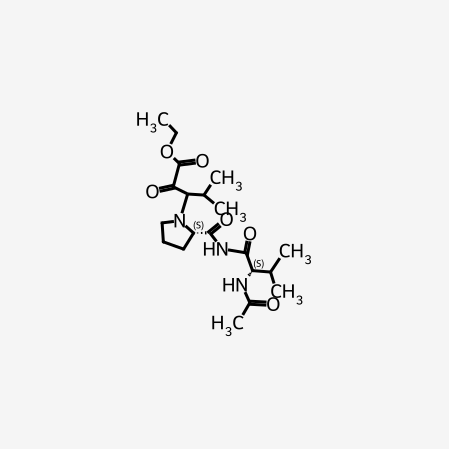 CCOC(=O)C(=O)C(C(C)C)N1CCC[C@H]1C(=O)NC(=O)[C@@H](NC(C)=O)C(C)C